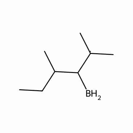 BC([C](C)C)C(C)CC